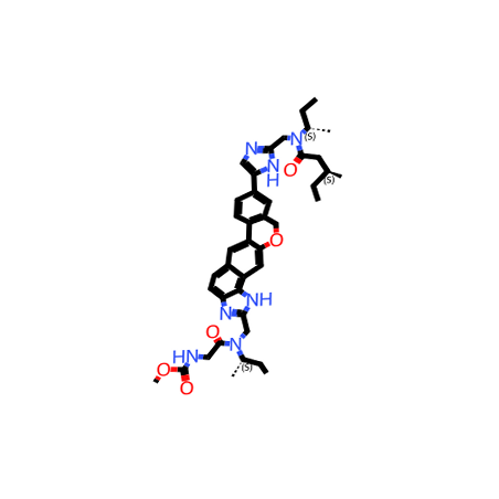 CC[C@H](C)CC(=O)N(Cc1ncc(-c2ccc3c(c2)COc2cc4c(ccc5nc(CN(C(=O)CNC(=O)OC)[C@@H](C)CC)[nH]c54)cc2-3)[nH]1)[C@@H](C)CC